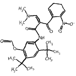 CN(C)/C=C(\C(=O)Nc1cc(OC=O)c(C(C)(C)C)cc1C(C)(C)C)C(=O)C1=CCCC=C1[N+](=O)[O-]